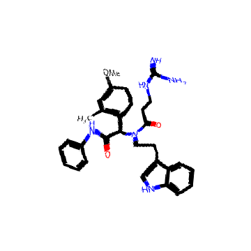 COc1ccc(C(C(=O)Nc2ccccc2)N(CCc2c[nH]c3ccccc23)C(=O)CCNC(=N)N)c(C)c1